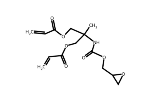 C=CC(=O)OCC(C)(COC(=O)C=C)NC(=O)OCC1CO1